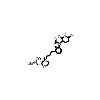 CC(C)(C)N(C[C@@H]1CN(CCCc2cccc3c2oc(=O)n3C2CCC(=O)NC2=O)CCO1)C(=O)O